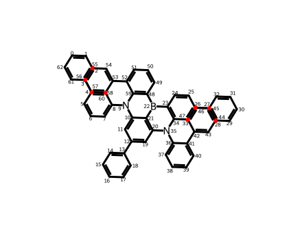 c1ccc(-c2cccc(N3c4cc(-c5ccccc5)cc5c4B(c4ccc(-c6ccccc6)cc4N5c4ccccc4-c4ccccc4)c4cccc(-c5ccccc5)c43)c2)cc1